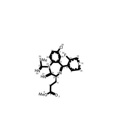 COC(=O)CC[C@@H]1N=C(c2ccccc2F)c2cc(Cl)ccc2N(C(=N)SC)C1=N